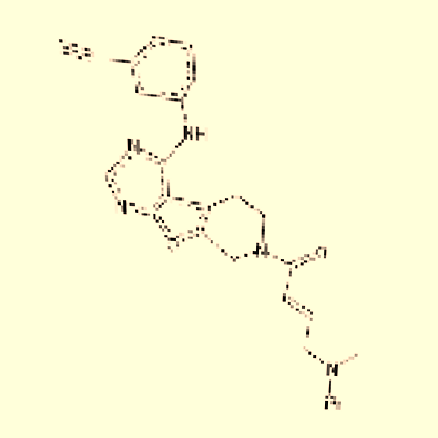 C#Cc1cccc(Nc2ncnc3oc4c(c23)CCN(C(=O)C=CCN(C)C(C)C)C4)c1